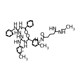 CCCNC(=N)CCCC(N)=O.Cc1ccc(NC(=N)NC(=O)c2ccc(C)cc2)cc1.N=C(NC(=O)c1ccccc1)Nc1ccccc1